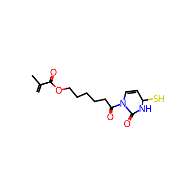 C=C(C)C(=O)OCCCCCC(=O)N1C=CC(S)NC1=O